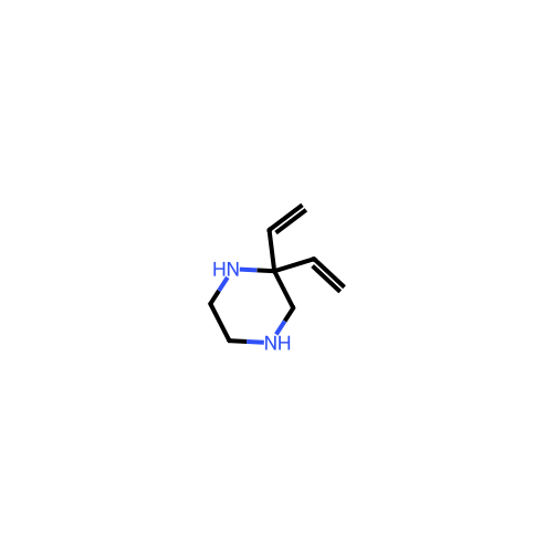 C=CC1(C=C)CNCCN1